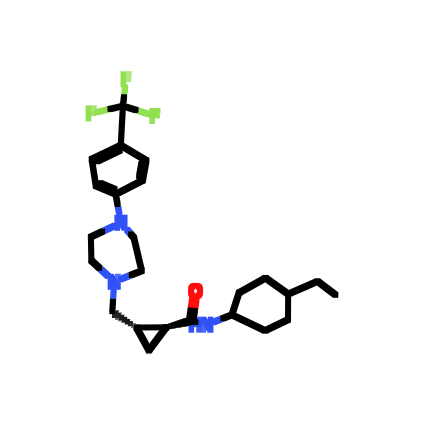 CCC1CCC(NC(=O)[C@H]2C[C@@H]2CN2CCN(c3ccc(C(F)(F)F)cc3)CC2)CC1